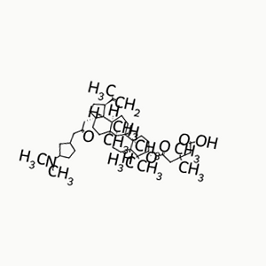 C=C(C)[C@@H]1CC[C@]2(CC(=O)CC3CCC(N(C)C)C3)CC[C@]3(C)[C@H](CC[C@@H]4[C@@]5(C)CC[C@H](OC(=O)CC(C)(C)CC(=O)O)C(C)(C)[C@@H]5CC[C@]43C)[C@@H]12